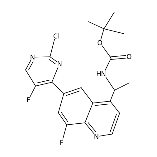 CC(NC(=O)OC(C)(C)C)c1ccnc2c(F)cc(-c3nc(Cl)ncc3F)cc12